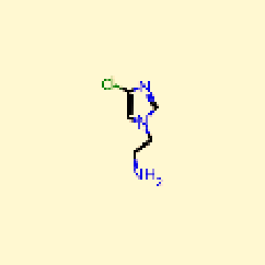 NCCn1cnc(Cl)c1